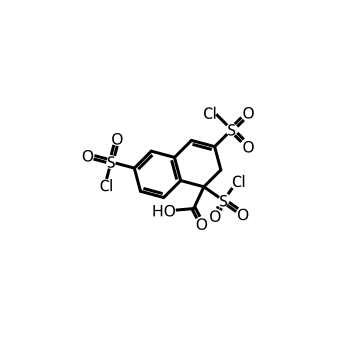 O=C(O)C1(S(=O)(=O)Cl)CC(S(=O)(=O)Cl)=Cc2cc(S(=O)(=O)Cl)ccc21